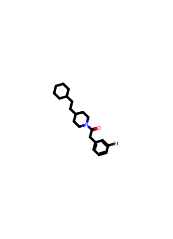 CCc1cccc(CC(=O)N2CCC(CCC3CCCCC3)CC2)c1